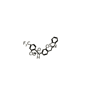 O=S(=O)(Nc1ccc(Cc2nc3ccccc3s2)c(Cl)c1)c1ccc(C(F)(F)F)cc1Cl